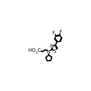 O=C(O)CCN(c1nc(-c2ccc(F)c(F)c2)cs1)C1CCCC1